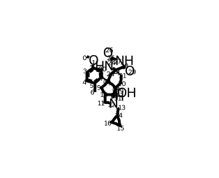 COc1ccc(C)c([C@]23CC4CN(CC5CC5)[C@H]4[C@]2(O)CC[C@@]2(C3)NC(=O)NC2=O)c1